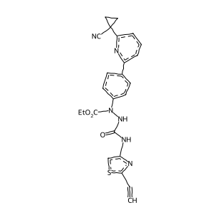 C#Cc1nc(NC(=O)NN(C(=O)OCC)c2ccc(-c3cccc(C4(C#N)CC4)n3)cc2)cs1